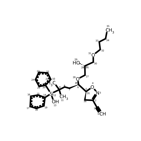 C#CC1=NO[C@H]([C@@H](CCC(C)(C)[Si](O)(c2ccccc2)c2ccccc2)OC[C@H](O)COCCCC)C1